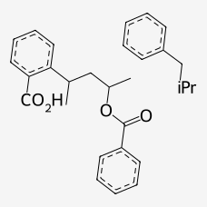 CC(C)Cc1ccccc1.CC(CC(C)c1ccccc1C(=O)O)OC(=O)c1ccccc1